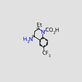 CC[C@H]1C[C@@H](N)c2cc(C(F)(F)F)ccc2N1C(=O)O